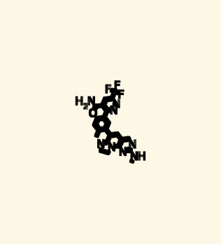 CNc1ncc2c(n1)N1CCN=C1C(c1cc(-c3nnc(C(F)(F)F)cc3C(N)=O)ccc1C)=C2